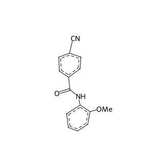 COc1ccccc1NC(=O)c1ccc(C#N)cc1